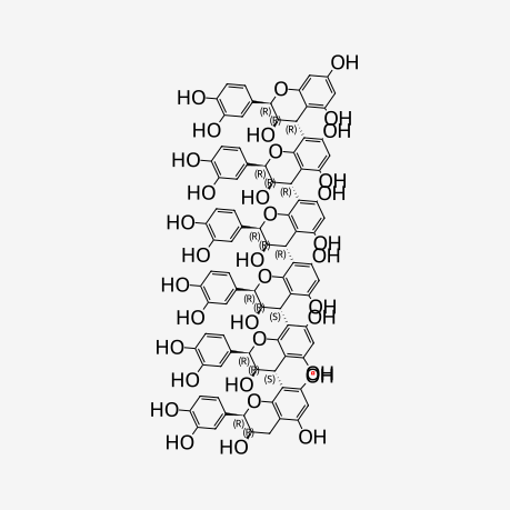 Oc1cc(O)c2c(c1)O[C@H](c1ccc(O)c(O)c1)[C@H](O)[C@H]2c1c(O)cc(O)c2c1O[C@H](c1ccc(O)c(O)c1)[C@H](O)[C@H]2c1c(O)cc(O)c2c1O[C@H](c1ccc(O)c(O)c1)[C@H](O)[C@H]2c1c(O)cc(O)c2c1O[C@H](c1ccc(O)c(O)c1)[C@H](O)[C@H]2c1c(O)cc(O)c2c1O[C@H](c1ccc(O)c(O)c1)[C@H](O)[C@H]2c1c(O)cc(O)c2c1O[C@H](c1ccc(O)c(O)c1)[C@H](O)C2